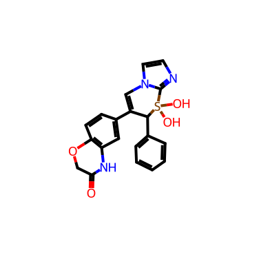 O=C1COc2ccc(C3=Cn4ccnc4S(O)(O)C3c3ccccc3)cc2N1